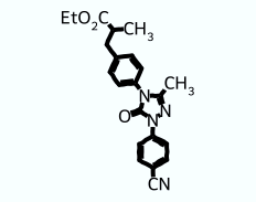 CCOC(=O)C(C)Cc1ccc(-n2c(C)nn(-c3ccc(C#N)cc3)c2=O)cc1